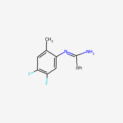 CCC/C(N)=N\c1cc(F)c(F)cc1C